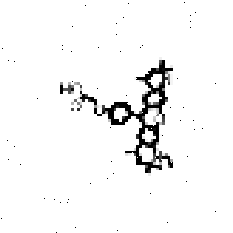 CCN1c2cc3c(cc2C(C)=CC1(C)C)C(c1ccc(OCC(=O)O)cc1)=c1cc2c(cc1O3)=NC(C)(C)C=C2C